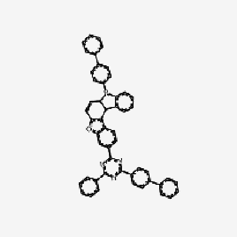 C1=CC2C(c3ccccc3N2c2ccc(-c3ccccc3)cc2)c2c1oc1cc(-c3nc(-c4ccccc4)nc(-c4ccc(-c5ccccc5)cc4)n3)ccc21